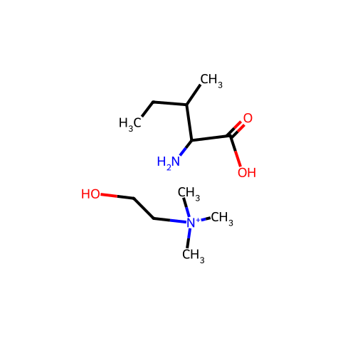 CCC(C)C(N)C(=O)O.C[N+](C)(C)CCO